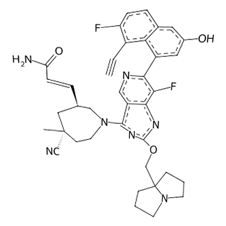 C#Cc1c(F)ccc2cc(O)cc(-c3ncc4c(N5CC[C@](C)(C#N)C[C@@H](C=CC(N)=O)C5)nc(OCC56CCCN5CCC6)nc4c3F)c12